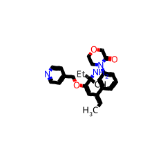 C/C=C(\C=C(\OCc1ccncc1)C(C)(N)CC)c1cccc(N2CCOCC2=O)c1